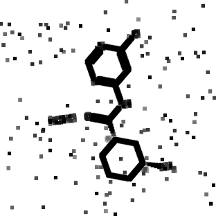 Cl.Cl.N[C@@H]1CCC[C@H](C(=O)Nc2cc(Cl)ncn2)C1